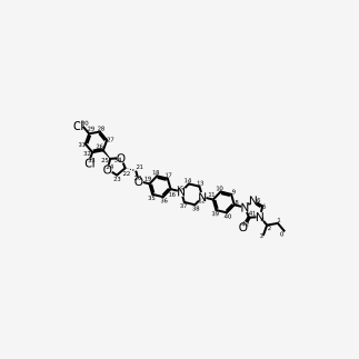 CCC(C)n1cnn(-c2ccc(N3CCN(c4ccc(OC[C@@H]5CO[C@@H](c6ccc(Cl)cc6Cl)O5)cc4)CC3)cc2)c1=O